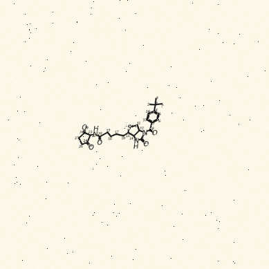 CC(C)(C)c1ccc(C(=O)N2C(=O)NC3C(CCCCC(=O)NC4C(=O)CCC4=O)SCC32)cc1